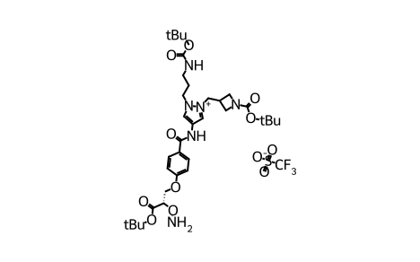 CC(C)(C)OC(=O)NCCCn1cc(NC(=O)c2ccc(OC[C@H](ON)C(=O)OC(C)(C)C)cc2)c[n+]1CC1CN(C(=O)OC(C)(C)C)C1.O=S(=O)([O-])C(F)(F)F